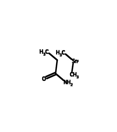 CCC(N)=O.[CH3][Sn][CH3]